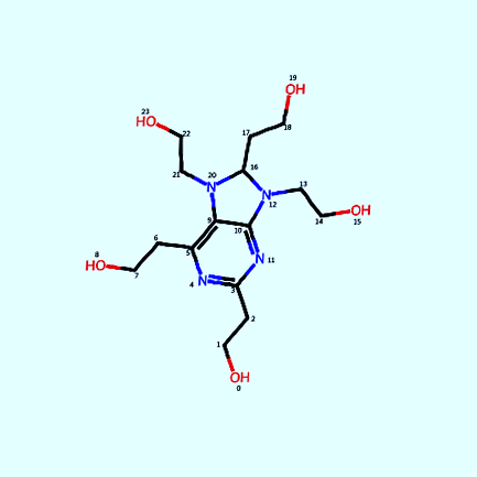 OCCc1nc(CCO)c2c(n1)N(CCO)C(CCO)N2CCO